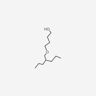 CCCC(CCC)COCCCCO